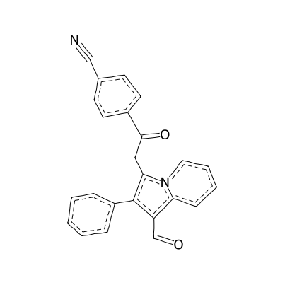 N#Cc1ccc(C(=O)Cc2c(-c3ccccc3)c(C=O)c3ccccn23)cc1